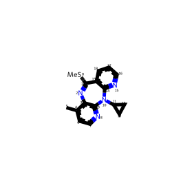 CSC1=Nc2c(C)ccnc2N(C2CC2)c2ncccc21